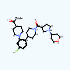 CNC(=O)C1CCN(c2cc(F)ccc2C2CCN(C(=O)C3CCN(C4CCOCC4)C3)CC2)CC1